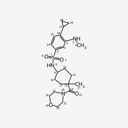 CNc1cc(S(=O)(=O)NC2CCC(C)(C(=O)N3CCOCC3)CC2)ccc1C1CC1